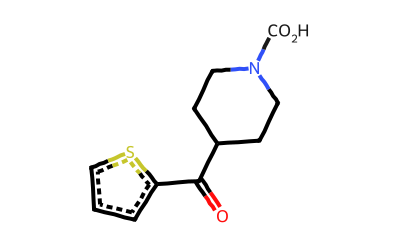 O=C(c1cccs1)C1CCN(C(=O)O)CC1